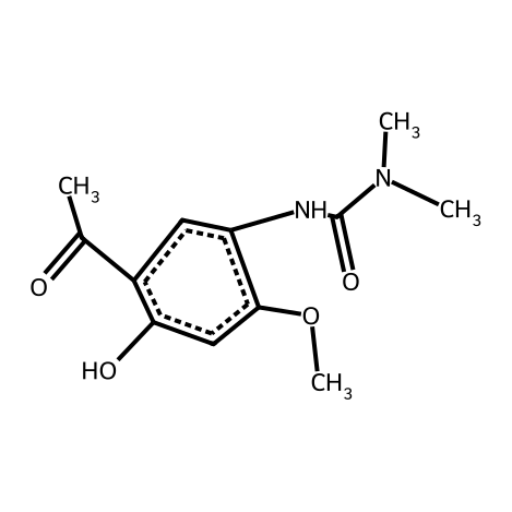 COc1cc(O)c(C(C)=O)cc1NC(=O)N(C)C